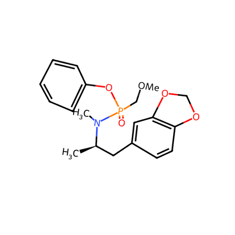 COCP(=O)(Oc1ccccc1)N(C)[C@H](C)Cc1ccc2c(c1)OCO2